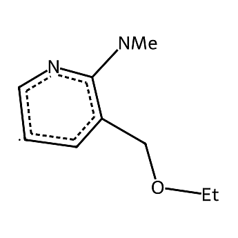 CCOCc1c[c]cnc1NC